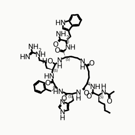 CCCC[C@H](NC(C)=O)C(=O)N[C@H]1CCC(=O)NCC[C@@H](C(=O)N[C@H](Cc2c[nH]c3ccccc23)C(N)=O)NC(O)[C@H](CCCNC(=N)N)NC(=O)[C@@H](Cc2ccccc2)NC(=O)[C@H](Cc2c[nH]cn2)NC1=O